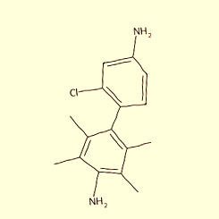 Cc1c(C)c(-c2ccc(N)cc2Cl)c(C)c(C)c1N